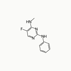 CNc1nc(Nc2ccccc2)ncc1F